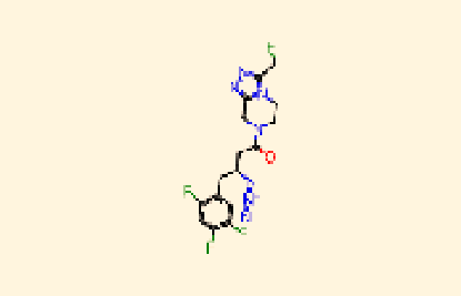 [N-]=[N+]=N[C@H](CC(=O)N1CCn2c(CF)nnc2C1)Cc1cc(F)c(F)cc1F